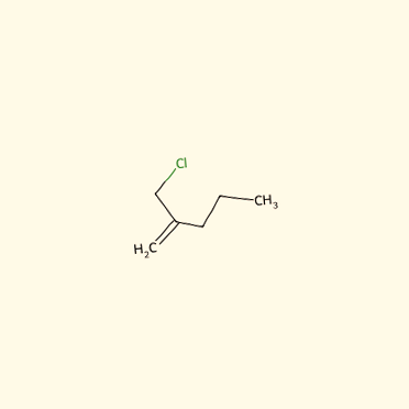 C=C(CCl)CCC